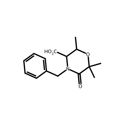 CC1OC(C)(C)C(=O)N(Cc2ccccc2)C1C(=O)O